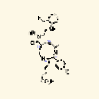 CCCN(CCNc1ccccc1CF)C(=O)C1=C/C/N=C(CCCCC(=O)O)\C(c2ccc(Cl)cc2)=N/C(C)/C=C\1